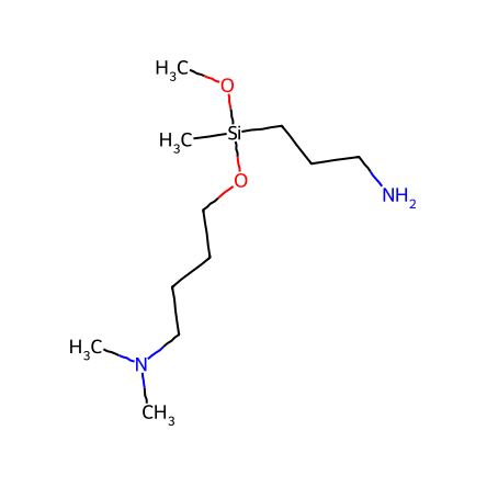 CO[Si](C)(CCCN)OCCCCN(C)C